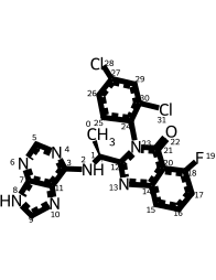 C[C@H](Nc1ncnc2[nH]cnc12)c1nc2cccc(F)c2c(=O)n1-c1ccc(Cl)cc1Cl